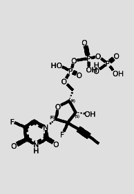 CC#CC1(F)[C@@H](O)[C@@H](COP(=O)(O)OP(=O)(O)OP(=O)(O)O)O[C@H]1n1cc(F)c(=O)[nH]c1=O